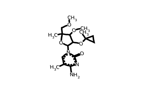 COCC1(C)OC(n2cc(C)c(N)nc2=O)C(OC2(C)CC2)C1OC